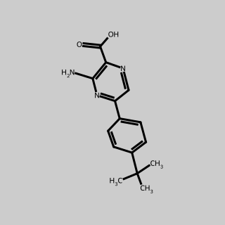 CC(C)(C)c1ccc(-c2cnc(C(=O)O)c(N)n2)cc1